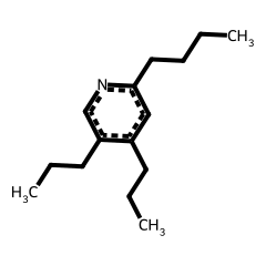 CCCCc1cc(CCC)c(CCC)cn1